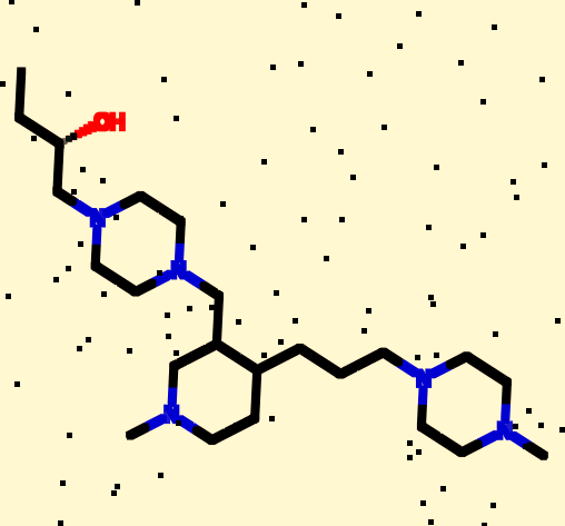 CC[C@H](O)CN1CCN(CC2CN(C)CCC2CCCN2CCN(C)CC2)CC1